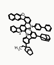 CCC1(c2ccc3c(c2)c2cc(C45CC6CC(CC(C6)C4)C5)cc4c2n3-c2c3c(cc5c2sc2ccccc25)-c2c(ccc5oc6cc7ccccc7cc6c25)N(c2ccc(-c5ccccc5)cc2)B34)CC2CCC(C2)C1